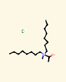 CCCCCCCC[N+](C)(CCCCCCCC)C(C)O.[Cl-]